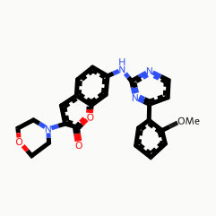 COc1ccccc1-c1ccnc(Nc2ccc3cc(N4CCOCC4)c(=O)oc3c2)n1